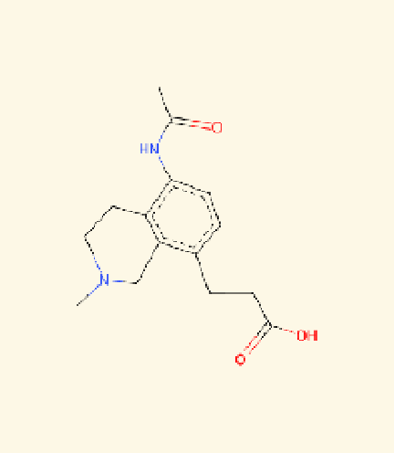 CC(=O)Nc1ccc(CCC(=O)O)c2c1CCN(C)C2